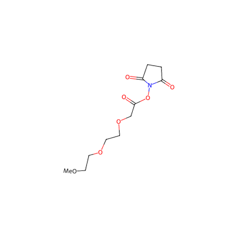 COCCOCCOCC(=O)ON1C(=O)CCC1=O